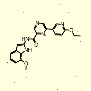 CCOc1ccc(-c2cncc(C(=O)Nc3cc4cccc(OC)c4[nH]3)n2)cn1